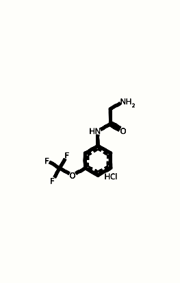 Cl.NCC(=O)Nc1cccc(OC(F)(F)F)c1